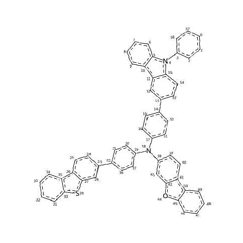 c1ccc(-n2c3ccccc3c3cc(-c4ccc(N(c5ccc(-c6ccc7c(c6)sc6ccccc67)cc5)c5ccc6c(c5)oc5ccccc56)cc4)ccc32)cc1